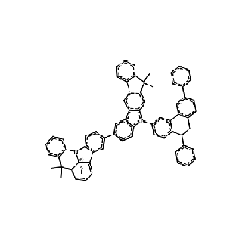 CC1(C)c2ccccc2-c2cc3c4cc(-c5ccc6c(c5)C5=CC=CC7[C@H]5N6c5ccccc5C7(C)C)ccc4n(-c4ccc5c(c4)-c4cc(-c6ccccc6)ccc4CC5c4ccccc4)c3cc21